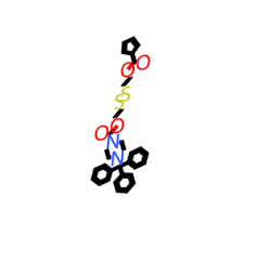 O=C(OCCSSCCOC(=O)N1CCN(C(c2ccccc2)(c2ccccc2)c2ccccc2)CC1)C1C=CC=C1